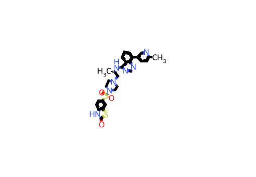 Cc1ccc(-c2cccc3c(N[C@@H](C)CN4CCN(S(=O)(=O)c5ccc6[nH]c(=O)sc6c5)CC4)ncnc23)cn1